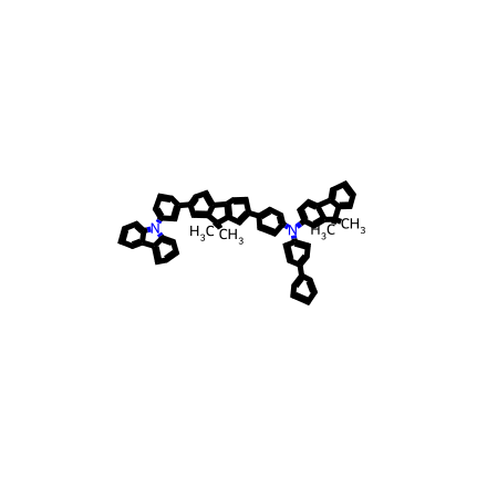 CC1(C)c2cc(-c3ccc(N(c4ccc(-c5ccccc5)cc4)c4ccc5c(c4)C(C)(C)c4ccccc4-5)cc3)ccc2-c2ccc(-c3cccc(-n4c5ccccc5c5ccccc54)c3)cc21